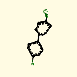 Fc1[c]cc(-c2ccc(Br)cc2)cc1